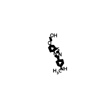 CNc1ccc(-c2cn3c(n2)sc2cc(OCCO)ccc23)cc1